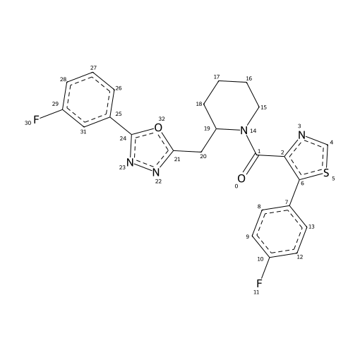 O=C(c1ncsc1-c1ccc(F)cc1)N1CCCCC1Cc1nnc(-c2cccc(F)c2)o1